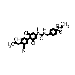 CCS(=O)(=O)c1ccc(CNC(=O)Nc2cc(Cl)c(-c3ccc(CC(C)C)c(C#N)c3)c(Cl)c2)cc1